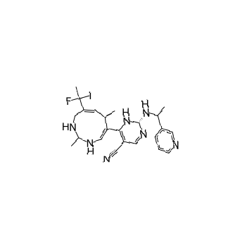 CC1N/C=C(/C2=C(C#N)C=N[C@@H](NC(C)c3cccnc3)N2)C(C)/C=C(/C(C)(F)I)CN1